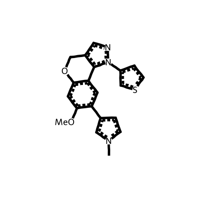 COc1cc2c(cc1-c1ccn(C)c1)-c1c(cnn1-c1ccsc1)CO2